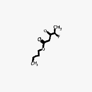 CCCCOC(=O)CC(=O)C(C)F